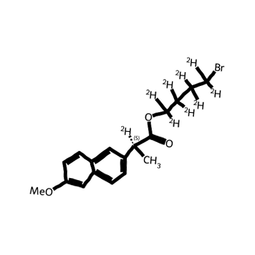 [2H]C([2H])(Br)C([2H])([2H])C([2H])([2H])C([2H])([2H])OC(=O)[C@@]([2H])(C)c1ccc2cc(OC)ccc2c1